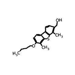 CCCCOc1ccc2c(sc3c(C)c(CO)ccc32)c1C